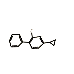 Fc1[c]c(C2CC2)ccc1-c1ccccc1